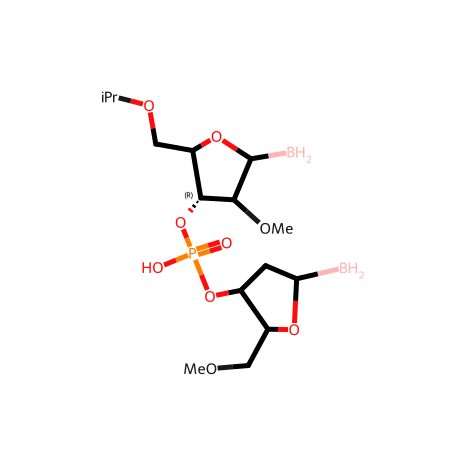 BC1CC(OP(=O)(O)O[C@@H]2C(COC(C)C)OC(B)C2OC)C(COC)O1